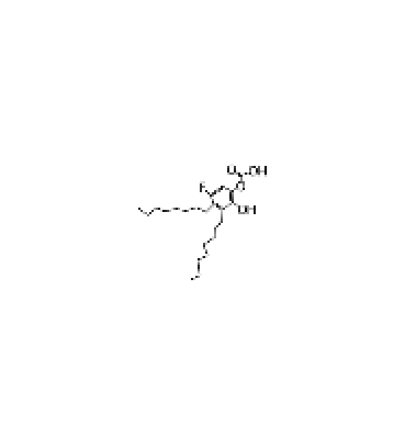 CCCCCCCCc1c(F)cc(OC(=O)O)c(O)c1CCCCCCCC